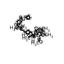 CC(=O)OC[C@H]1O[C@@H](Oc2n[nH]c(C(C)C)c2Cc2ccc(CCCC(=O)NC(C)(C)C(=O)N3CCN(C(=O)OCc4ccccc4)CC3)cc2)[C@H](OC(C)=O)[C@@H](OC(C)=O)[C@H]1OC(C)=O